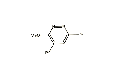 COc1nnc(C(C)C)cc1C(C)C